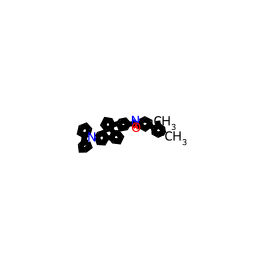 Cc1ccc(-c2ccc3nc(-c4ccc(-c5ccccc5-c5ccccc5-c5ccc(-n6c7ccccc7c7ccccc76)cc5)cc4)oc3c2)c(C)c1